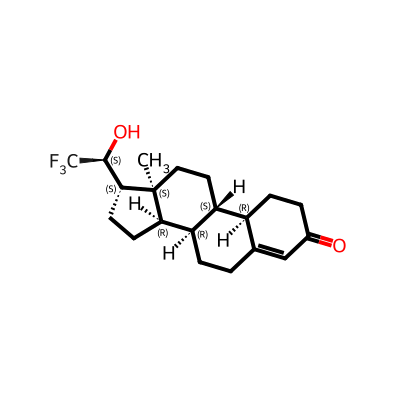 C[C@]12CC[C@H]3[C@@H](CCC4=CC(=O)CC[C@@H]43)[C@H]1CC[C@@H]2[C@H](O)C(F)(F)F